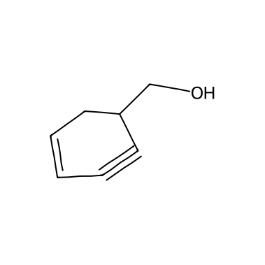 OCC1C#CC=CC1